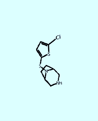 Clc1ccc(SN2C3CCC2CNC3)s1